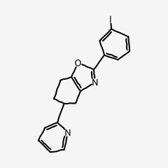 Ic1cccc(-c2nc3c(o2)CCC(c2ccccn2)C3)c1